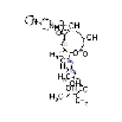 CCC(O)C(C)C1OC1CC(C)(O)/C=C/C=C(\C)C1OC(=O)CC(O)CCC(C)(O)C(OC(=O)N2CCC(N3CCCC3)CC2)/C=C/C1C